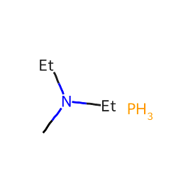 CCN(C)CC.P